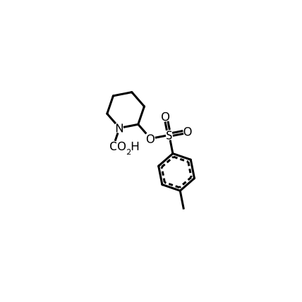 Cc1ccc(S(=O)(=O)OC2CCCCN2C(=O)O)cc1